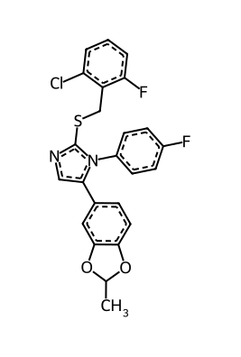 CC1Oc2ccc(-c3cnc(SCc4c(F)cccc4Cl)n3-c3ccc(F)cc3)cc2O1